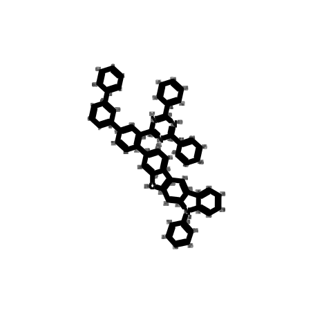 c1ccc(-c2cccc(-c3ccc(-c4ccc5c(c4)oc4cc6c(cc45)c4ccccc4n6-c4ccccc4)c(-c4nc(-c5ccccc5)nc(-c5ccccc5)n4)c3)c2)cc1